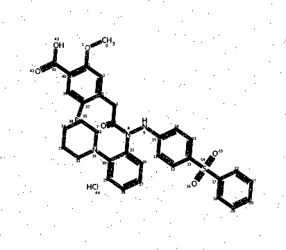 COc1cc(CC(=O)N(Nc2ccc(S(=O)(=O)c3ccccc3)cc2)c2ccccc2N2CCCCC2)c(Br)cc1C(=O)O.Cl